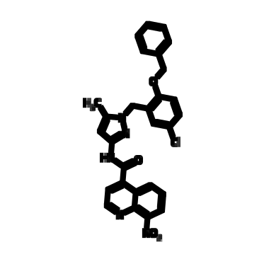 Cc1cc(NC(=O)c2ccnc3c([N+](=O)[O-])cccc23)nn1Cc1cc(Cl)ccc1OCc1ccccc1